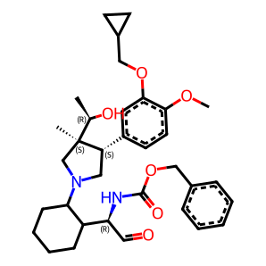 COc1ccc([C@@H]2CN(C3CCCCC3[C@H](C=O)NC(=O)OCc3ccccc3)C[C@@]2(C)[C@@H](C)O)cc1OCC1CC1